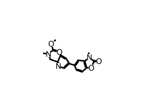 COC(=O)N(C)Cc1ccc(-c2ccc3oc(=O)n(C)c3c2)cn1